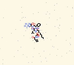 CCCCCC[C@@H](OC(=O)CNC(=O)[C@@H](C)C1CCC1)[C@@H](C)C(=O)N(C)[C@@H](CC(C)C)C(=O)N[C@H](C(=O)N[C@@H](CN)C(N)=O)C1CCCCC1